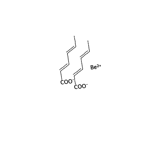 C/C=C/C=C/C(=O)[O-].C/C=C/C=C/C(=O)[O-].[Be+2]